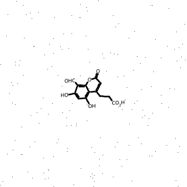 O=Cc1c(O)cc(O)c2c(CCC(=O)O)cc(=O)oc12